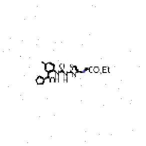 CCOC(=O)/C=C/c1csc(NC(=O)Nc2ccc(C)cc2C(=O)C2CCCC2)n1